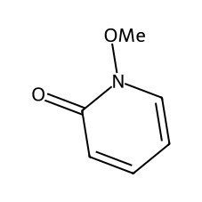 COn1ccccc1=O